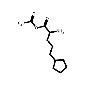 NC(CCCC1CCCC1)C(=O)OC(=O)C(F)(F)F